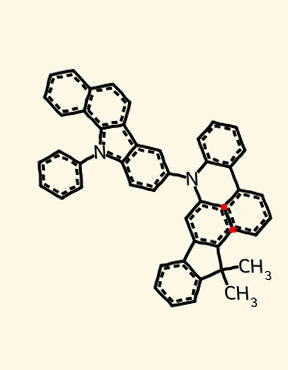 CC1(C)c2ccccc2-c2cc(N(c3ccc4c(c3)c3ccc5ccccc5c3n4-c3ccccc3)c3ccccc3-c3ccccc3)ccc21